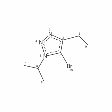 CCc1nnn(C(C)C)c1Br